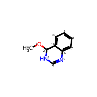 COC1NC=Nc2ccccc21